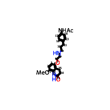 COc1ccc(OCCNCCCc2ccc(NC(C)=O)cc2)c2c1NC(=O)CC2